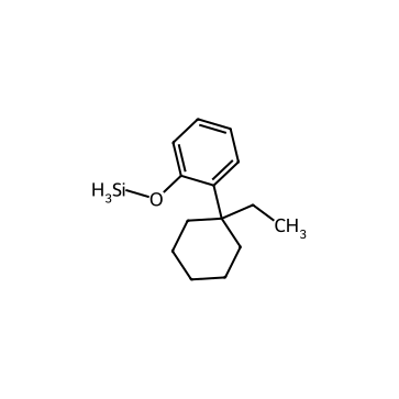 CCC1(c2ccccc2O[SiH3])CCCCC1